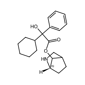 O=C(OC1C2CC[C@@H]1NC2)C(O)(c1ccccc1)C1CCCCC1